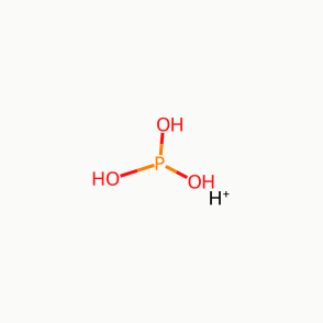 OP(O)O.[H+]